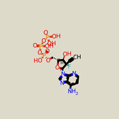 C#C[C@@]1(F)[C@H](O)[C@@H](COP(=O)(O)OP(=O)(O)OP(=O)(O)O)O[C@H]1n1cnc2c(N)ccnc21